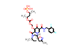 CC1=NO[C@@]2(CC[C@H](C)N3C[C@H]2n2cc(C(=O)NCc4ccc(F)cc4F)c(=O)c(OCOC(=O)O[C@H](C)C[C@@H](C)OP(=O)(O)O)c2C3=O)C1